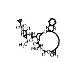 C=C[C@@H]1C[C@]1(NC(=O)C1CC2CN1C(=O)C(C(C)(C)C)NC(=O)OC1(C)CC1CCCCCc1nc3ccccc3nc1O2)C(=O)NS(=O)(=O)C1CC1